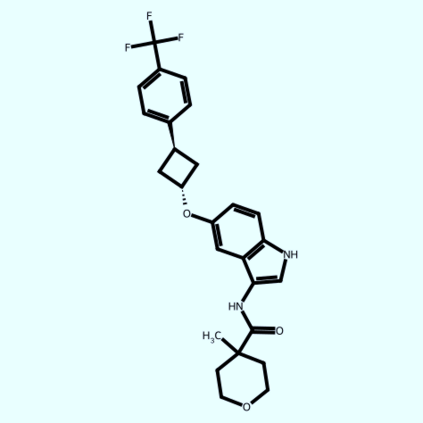 CC1(C(=O)Nc2c[nH]c3ccc(O[C@H]4C[C@H](c5ccc(C(F)(F)F)cc5)C4)cc23)CCOCC1